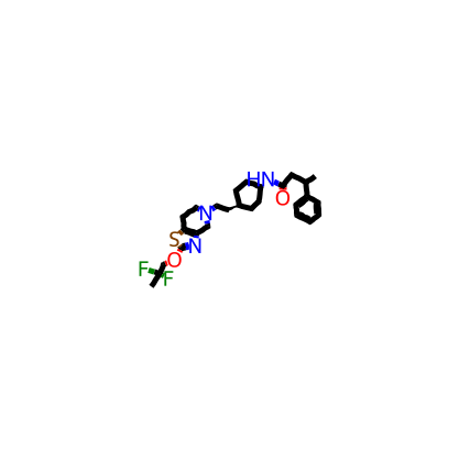 CC(CC(=O)N[C@H]1CC[C@H](CCN2CCc3sc(OCC(C)(F)F)nc3C2)CC1)c1ccccc1